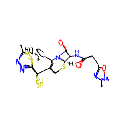 Cc1noc(CC(=O)NC2C(=O)N3C(C(=O)O)=C(C(S)c4nnc(C)s4)CS[C@H]23)n1